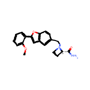 COc1ccccc1-c1cc2cc(CN3CC[C@H]3C(N)=O)ccc2o1